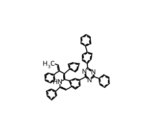 C/C=C(/C(=C1\NC(c2ccccc2)=Cc2ccc(-c3nc(-c4ccccc4)nc(-c4ccc(-c5ccccc5)cc4)n3)cc21)c1ccccc1)c1ccccc1